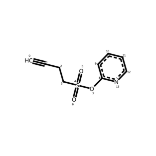 C#CCCS(=O)(=O)Oc1ccccn1